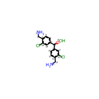 Cl.NCc1ccc(C(=O)c2ccc(CN)c(Cl)c2)cc1Cl